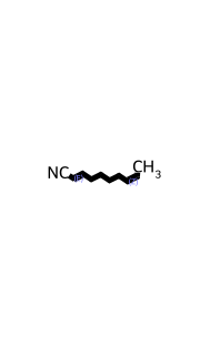 C/C=C\CCCC/C=C/C#N